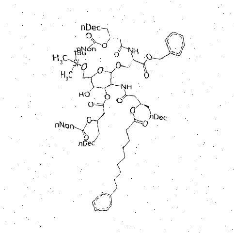 CCCCCCCCCCC[C@H](CC(=O)NC1C(OC[C@H](NC(=O)C[C@@H](CCCCCCCCCCC)OC(=O)CCCCCCCCC)C(=O)OCc2ccccc2)OC(CO[Si](C)(C)C(C)(C)C)C(O)C1OC(=O)C[C@@H](CCCCCCCCCCC)OC(=O)CCCCCCCCC)OC(=O)CCCCCCCCc1ccccc1